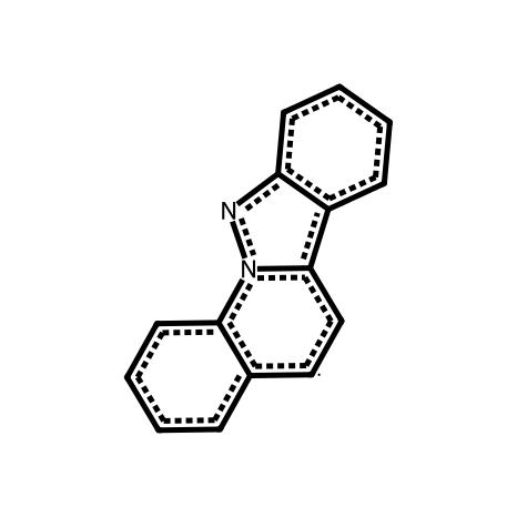 [c]1cc2c3ccccc3nn2c2ccccc12